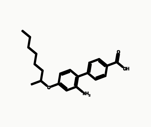 CCCCCCC(C)Oc1ccc(-c2ccc(C(=O)O)cc2)c(N)c1